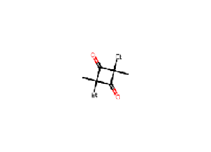 CCC1(C)C(=O)C(C)(CC)C1=O